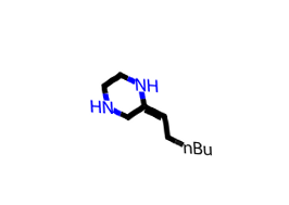 CCCCCC=C1CNCCN1